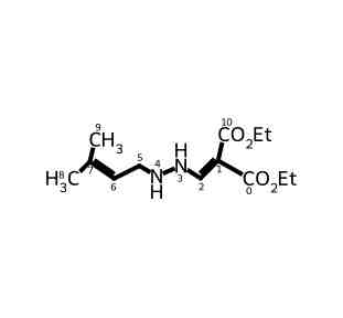 CCOC(=O)C(=CNNCC=C(C)C)C(=O)OCC